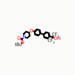 CC(C)(C)OC(=O)N1CCC(Oc2ccc(-c3ccc(C(O)(C(F)(F)F)C(F)(F)F)cc3)cc2)CC1